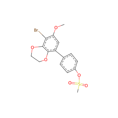 COc1cc(-c2ccc(OS(C)(=O)=O)cc2)c2c(c1Br)OCCO2